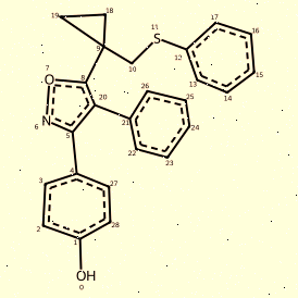 Oc1ccc(-c2noc(C3(CSc4ccccc4)CC3)c2-c2ccccc2)cc1